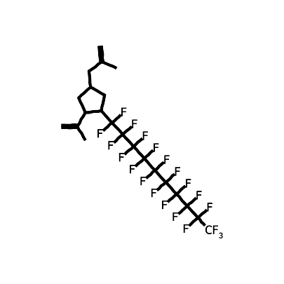 C=C(C)CC1CC(C(=C)C)C(C(F)(F)C(F)(F)C(F)(F)C(F)(F)C(F)(F)C(F)(F)C(F)(F)C(F)(F)C(F)(F)C(F)(F)F)C1